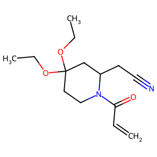 C=CC(=O)N1CCC(OCC)(OCC)CC1CC#N